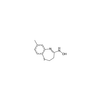 Cc1ccc2c(c1)N=C(NO)CCS2